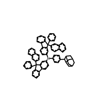 c1ccc(C2(c3ccc4ccccc4c3)c3ccccc3-c3ccc(N(c4ccc(C5C6CC7CC(C6)CC5C7)cc4)c4ccc5c(c4)C(c4ccccc4)(c4ccc6ccccc6c4)c4ccccc4-5)cc32)cc1